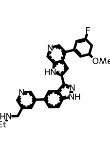 CCNCc1cncc(-c2ccc3[nH]nc(-c4cc5c(C6=CC(OC)CC(F)=C6)cncc5[nH]4)c3c2)c1